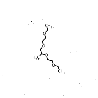 CCOCCOCC(C)OCCOCC